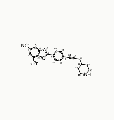 CC(C)c1cc(C#N)cc2nc(-c3ccc(C#CCC4CCNCC4)cc3)oc12